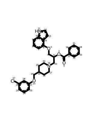 O=C(OC(COc1cccc2[nH]ccc12)CN1CCC(COc2cccc(Cl)c2)CC1)c1ccccc1